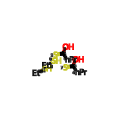 CCCC(O)=S.CCCC(O)=S.CCS.CCS